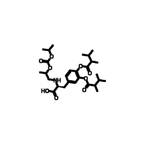 CC(C)OC(=O)OC(C)CN[C@@H](Cc1ccc(OC(=O)C(C)C(C)C)c(OC(=O)C(C)C(C)C)c1)C(=O)O